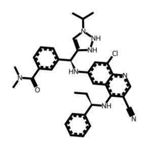 CC[C@@H](Nc1c(C#N)cnc2c(Cl)cc(N[C@H](C3=CN(C(C)C)NN3)c3cccc(C(=O)N(C)C)c3)cc12)c1ccccc1